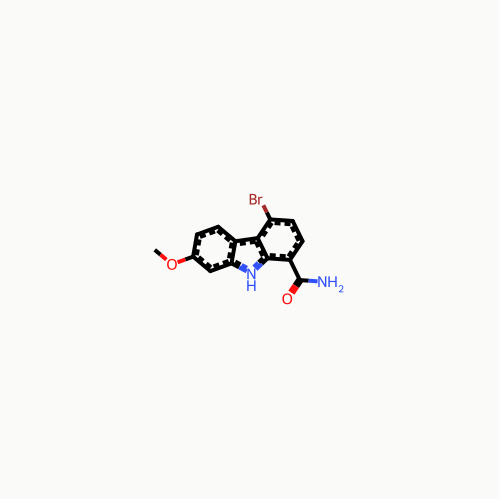 COc1ccc2c(c1)[nH]c1c(C(N)=O)ccc(Br)c12